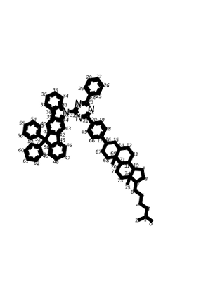 CC(C)CCCCC1CCC2C3CCC4CC(c5ccc(-c6nc(-c7ccccc7)nc(-n7c8ccccc8c8cc9c(cc87)-c7ccccc7C9(c7ccccc7)c7ccccc7)n6)cc5)CCC4(C)C3CCC12C